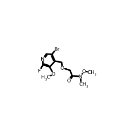 COc1c(F)ncc(Br)c1COCC(=O)N(C)OC